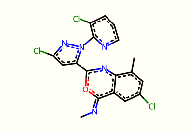 C/N=c1\oc(-c2cc(Cl)nn2-c2ncccc2Cl)nc2c(C)cc(Cl)cc12